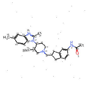 CCC(=O)Nc1ccc2c(c1)CC(CN1CCC(n3c(CC)nc4cc(C)ccc43)[C@H](OC)C1)C2